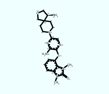 Cn1c(=O)n(C)c2c(Sc3ncc(N4CCC5(CC4)COC[C@H]5N)nc3N)cccc21